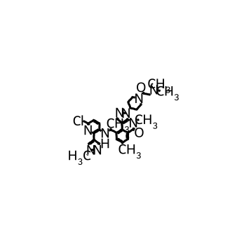 Cc1cc(C(C)Nc2ccc(Cl)nc2-c2cnn(C)c2)c2c(c1)c(=O)n(C)c1c2cnn1C1CCN(C(=O)CN(C)C)CC1